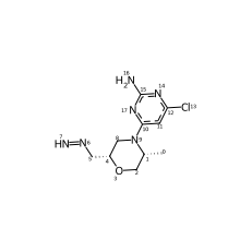 C[C@@H]1CO[C@H](CN=N)CN1c1cc(Cl)nc(N)n1